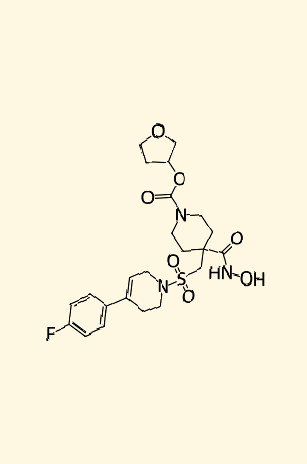 O=C(OC1CCOC1)N1CCC(CS(=O)(=O)N2CC=C(c3ccc(F)cc3)CC2)(C(=O)NO)CC1